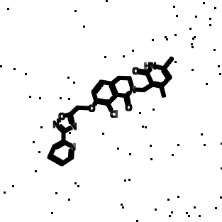 Cc1cc(C)c(CN2CCc3ccc(OCc4nc(-c5ccccn5)no4)c(Cl)c3C2=O)c(=O)[nH]1